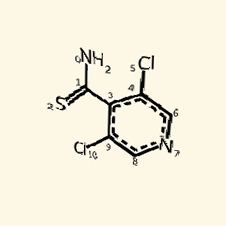 NC(=S)c1c(Cl)cncc1Cl